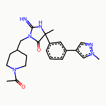 CC(=O)N1CCC(CN2C(=N)NC(C)(c3cccc(-c4cnn(C)c4)c3)C2=O)CC1